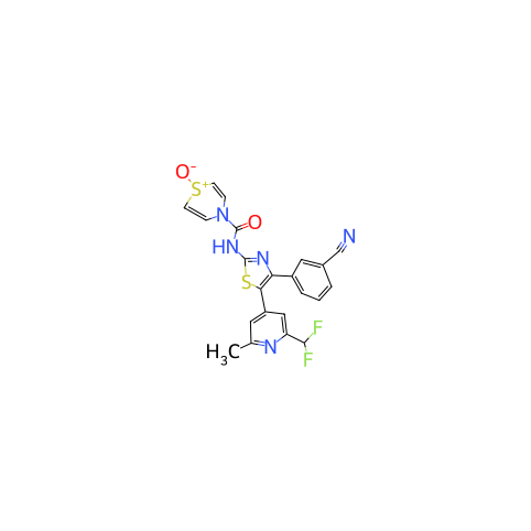 Cc1cc(-c2sc(NC(=O)N3C=C[S+]([O-])C=C3)nc2-c2cccc(C#N)c2)cc(C(F)F)n1